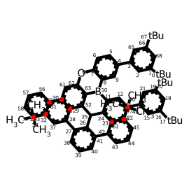 CC(C)(C)c1cc(-c2ccc3c(c2)B2c4cc(-c5cc(C(C)(C)C)cc(C(C)(C)C)c5)ccc4C(c4c(-c5cccc(S(C)(C)C)c5)cccc4-c4cccc(S(C)(C)C)c4)c4cc(-c5ccccc5)cc(c42)O3)cc(C(C)(C)C)c1